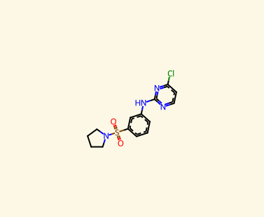 O=S(=O)(c1cccc(Nc2nccc(Cl)n2)c1)N1CCCC1